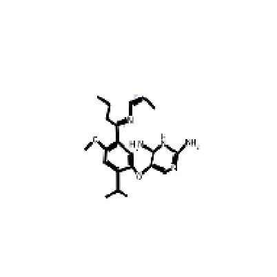 C/C=C\N=C(/CCC)c1cc(OC2=CN=C(N)NC2N)c(C(C)C)cc1OC